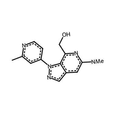 CNc1cc2cnn(-c3ccnc(C)c3)c2c(CO)n1